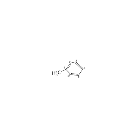 Cc1ccccp1